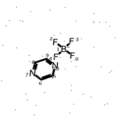 F[B-](F)(F)F.[c]1cnccn1